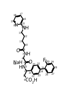 O=C(O)CC(NC(=O)CNC(=O)CCCCNc1ccccn1)c1ccc(-c2ccccc2F)cc1.[NaH]